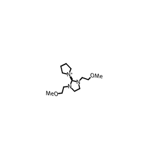 COCCN1CCN(CCOC)C1=[N+]1CCCC1